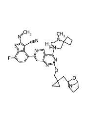 C=Nc1sc2c(F)ccc(-c3cc4nc(OCC5(CN6CC7CCC6CO7)CC5)nc(NCC5(N(C)C)CCC5)c4cn3)c2c1C#N